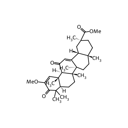 COC(=O)[C@@]1(C)CC[C@]2(C)CC[C@]3(C)C(=CC(=O)[C@@H]4[C@@]5(C)C=C(OC)C(=O)C(C)(C)[C@@H]5CC[C@]43C)[C@@H]2C1